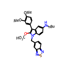 CCCCNc1ccc2c(c1)c(-c1ccc(OC)c(OC)c1)c(OC(=O)O)n2Cc1ccc2nsnc2c1